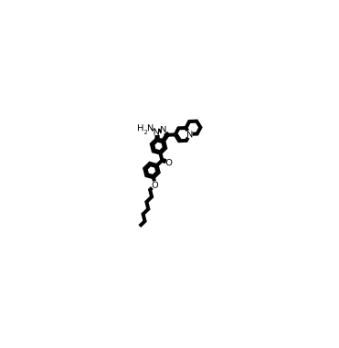 CCCCCCCOc1cccc(C(=O)c2ccc3c(c2)c(C2=CCN4CCCCC4C2)nn3N)c1